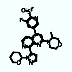 CC1COCCN1c1cc(-c2cnc([S+](C)[O-])c(F)c2)c2ccnc(-c3ccnn3C3CCCCO3)c2n1